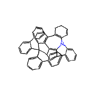 C1=CC2=C(CC1)c1cccc3c1C1=c4c(c5ccccc5n42)=CC1C3(c1ccccc1-c1ccccc1)c1ccccc1-c1ccccc1